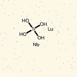 [Lu].[Nb].[OH][Ti]([OH])([OH])[OH]